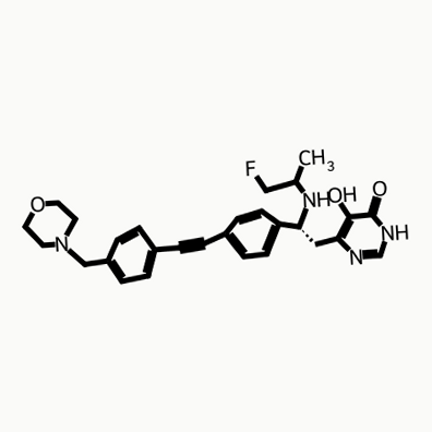 CC(CF)N[C@H](Cc1nc[nH]c(=O)c1O)c1ccc(C#Cc2ccc(CN3CCOCC3)cc2)cc1